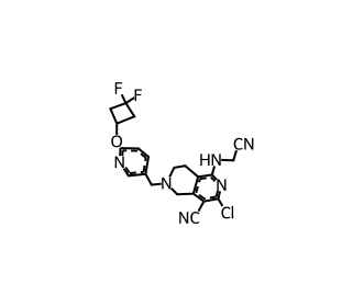 N#CCNc1nc(Cl)c(C#N)c2c1CCN(Cc1ccc(OC3CC(F)(F)C3)nc1)C2